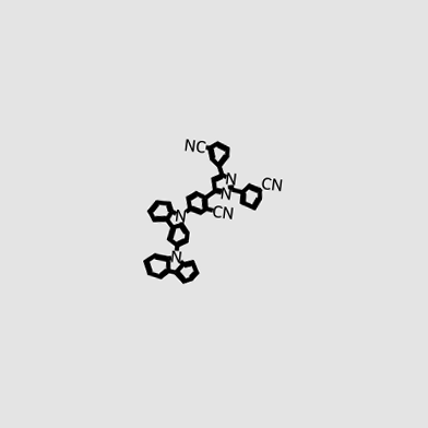 N#Cc1cccc(-c2cc(-c3ccc(-n4c5ccccc5c5cc(-n6c7ccccc7c7ccccc76)ccc54)cc3C#N)nc(-c3cccc(C#N)c3)n2)c1